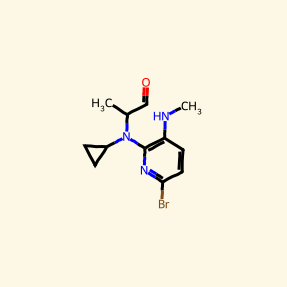 CNc1ccc(Br)nc1N(C(C)C=O)C1CC1